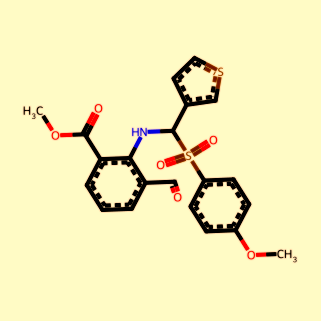 COC(=O)c1cccc(C=O)c1NC(c1ccsc1)S(=O)(=O)c1ccc(OC)cc1